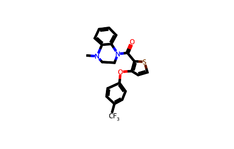 CN1CCN(C(=O)c2sccc2Oc2ccc(C(F)(F)F)cc2)c2ccccc21